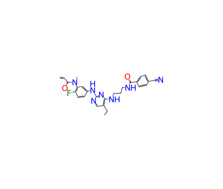 C=CC(=O)N(C)c1cc(Nc2ncc(CC)c(NCCCNC(=O)c3ccc(C#N)cc3)n2)ccc1F